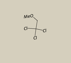 [CH2]OCC(Cl)(Cl)Cl